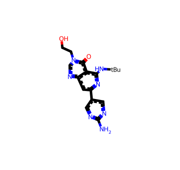 CC(C)(C)Nc1nc(-c2cnc(N)nc2)cc2ncn(CCO)c(=O)c12